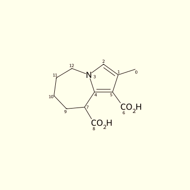 Cc1cn2c(c1C(=O)O)C(C(=O)O)CCCC2